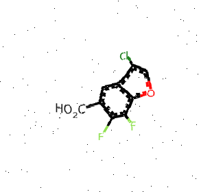 O=C(O)c1cc2c(Cl)coc2c(F)c1F